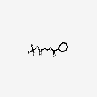 O=C(OCCNOC(F)(F)F)C1CCCCCC1